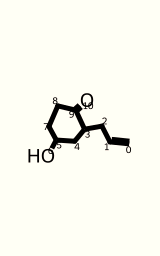 C=CCC1CC(O)CCC1=O